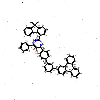 CC1(C)c2ccccc2-c2c(-c3nc(-c4ccccc4)c4oc5cc(-c6cccc(-c7ccc8c9ccccc9c9ccccc9c8c7)c6)ccc5c4n3)cccc21